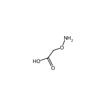 NO[CH]C(=O)O